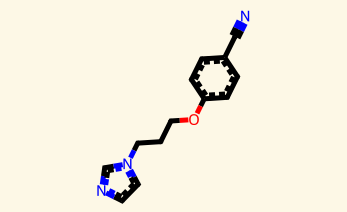 N#Cc1ccc(OCCCn2ccnc2)cc1